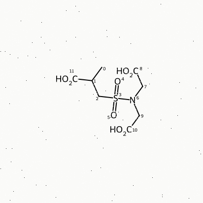 CC(CS(=O)(=O)N(CC(=O)O)CC(=O)O)C(=O)O